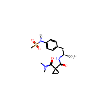 CCN(c1ccc(C[C@H](NC(=O)C2(C(=O)N(C)C)CC2)C(=O)O)cc1)S(C)(=O)=O